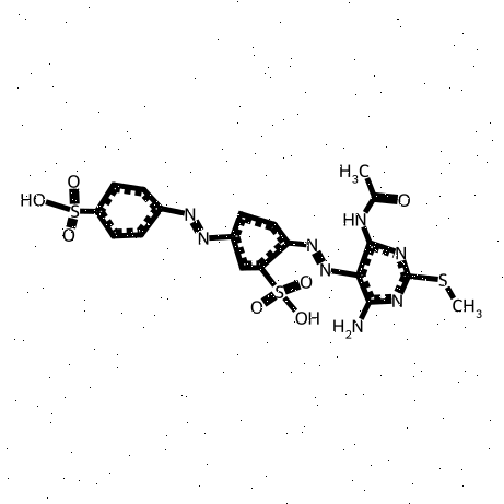 CSc1nc(N)c(/N=N/c2ccc(/N=N/c3ccc(S(=O)(=O)O)cc3)cc2S(=O)(=O)O)c(NC(C)=O)n1